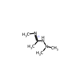 C/N=C(\C)NN(C)C